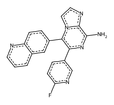 Nc1nc(-c2ccc(F)nc2)c(-c2ccc3ncccc3c2)n2ccnc12